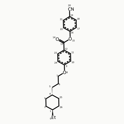 CC[C@H]1CC[C@H](CCCOc2ccc(C(=O)Oc3ccc(C#N)cc3)cc2)CC1